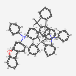 CC1(C)c2ccccc2-c2cc(N(c3ccccc3)c3ccccc3[Si](c3ccccc3)(c3ccccc3)c3cccc(N(c4ccccc4)c4ccc5c(c4)oc4ccccc45)c3)ccc21